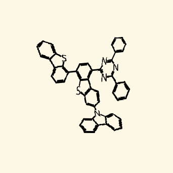 c1ccc(-c2nc(-c3ccccc3)nc(-c3ccc(-c4cccc5c4sc4ccccc45)c4sc5cc(-n6c7ccccc7c7ccccc76)ccc5c34)n2)cc1